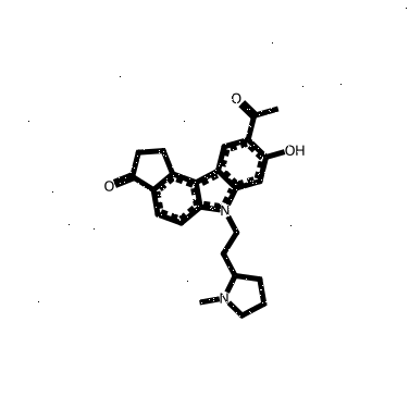 CC(=O)c1cc2c3c4c(ccc3n(CCC3CCCN3C)c2cc1O)C(=O)CC4